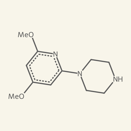 COc1cc(OC)nc(N2CCNCC2)c1